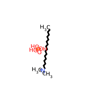 CCCCCCCCCCCCCCCCCCN(C)C.O=P(O)(O)O